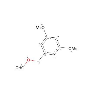 COc1cc(COC=O)cc(OC)c1